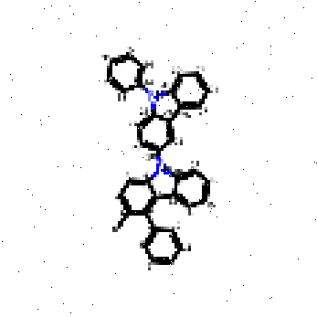 Cc1ccc2c(c1-c1ccccc1)c1ccccc1n2-c1ccc2c(c1)c1ccccc1n2-c1ccccc1